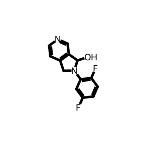 OC1c2cnccc2CN1c1cc(F)ccc1F